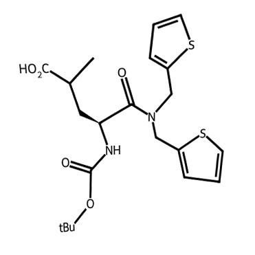 CC(C[C@H](NC(=O)OC(C)(C)C)C(=O)N(Cc1cccs1)Cc1cccs1)C(=O)O